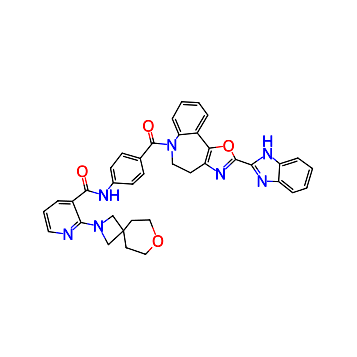 O=C(Nc1ccc(C(=O)N2CCc3nc(-c4nc5ccccc5[nH]4)oc3-c3ccccc32)cc1)c1cccnc1N1CC2(CCOCC2)C1